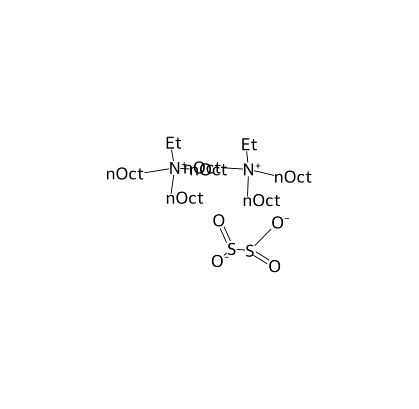 CCCCCCCC[N+](CC)(CCCCCCCC)CCCCCCCC.CCCCCCCC[N+](CC)(CCCCCCCC)CCCCCCCC.O=S([O-])S(=O)[O-]